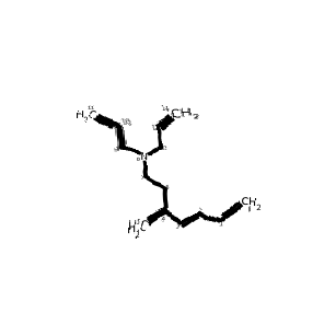 C=CC=CC(=C)CCN(CC=C)CC=C